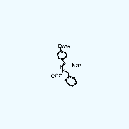 COc1ccc(C=N[C@@H](Cc2ccccc2)C(=O)[O-])cc1.[Na+]